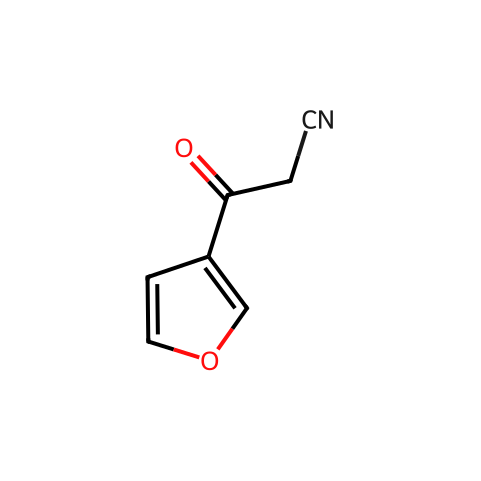 N#CCC(=O)c1ccoc1